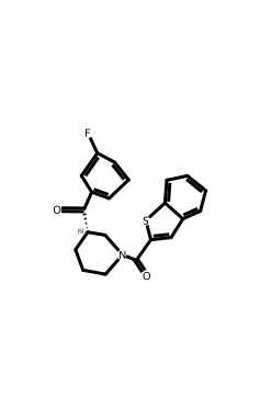 O=C(c1cccc(F)c1)[C@H]1CCCN(C(=O)c2cc3ccccc3s2)C1